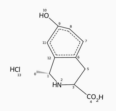 C[C@H]1NC(C(=O)O)Cc2ccc(O)cc21.Cl